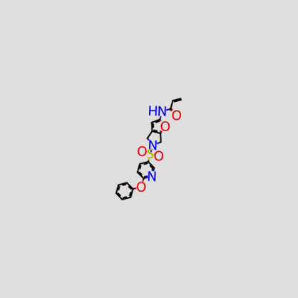 C=CC(=O)Nc1cc2c(o1)CN(S(=O)(=O)c1ccc(Oc3ccccc3)nc1)C2